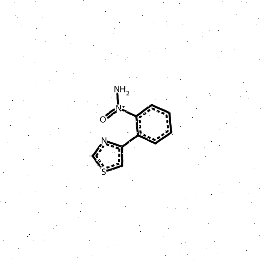 N[N+](=O)c1ccccc1-c1cs[c]n1